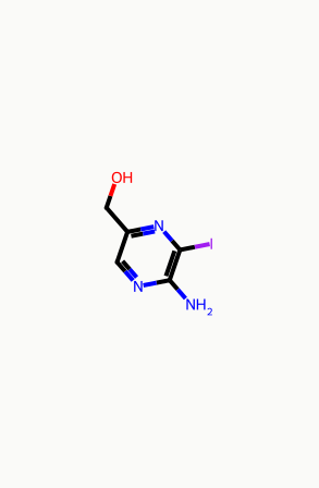 Nc1ncc(CO)nc1I